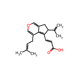 C=C(C)C1CC2=COC=C(CC=C(C)C)C2=C1/C=C/C(=O)O